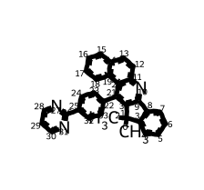 CC1(C)c2ccccc2-c2nc3ccc4ccccc4c3c(-c3ccc(-c4ncccn4)cc3)c21